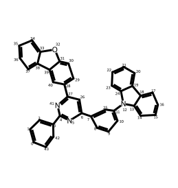 c1ccc(-c2nc(-c3cccc(-n4c5ccccc5c5ccccc54)c3)cc(-c3ccc4oc5ccccc5c4c3)n2)cc1